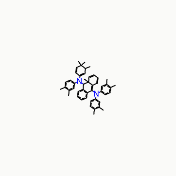 Cc1ccc(N(C2=C3C=CC=CC3(C)C(N(C3=CC(C)C(C)(C)C=C3)c3ccc(C)c(C)c3)c3ccccc32)c2ccc(C)c(C)c2)cc1C